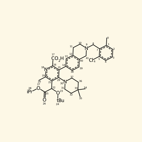 Cc1cccc(Cl)c1CN1CCc2cc(-c3c(C(=O)O)nc(C)c(C(OC(C)(C)C)C(=O)OC(C)C)c3N3CCC(C)(C)CC3)ccc2C1